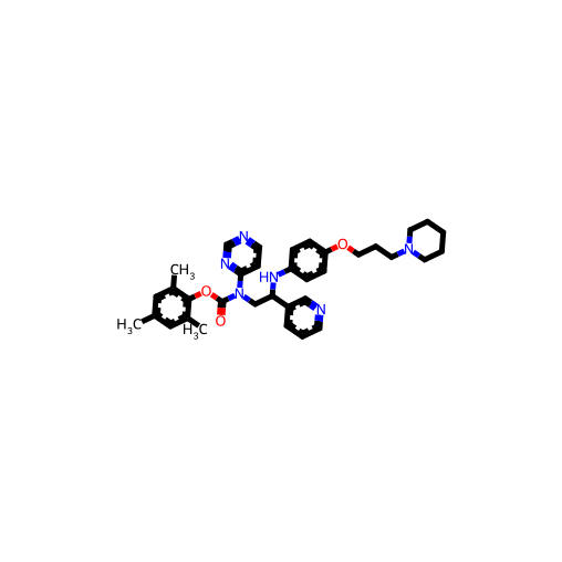 Cc1cc(C)c(OC(=O)N(CC(Nc2ccc(OCCCN3CCCCC3)cc2)c2cccnc2)c2ccncn2)c(C)c1